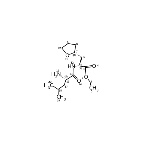 CCOC(=O)[C@H](C[C@H]1CCCO1)NC(=O)[C@@H](N)CC(C)C